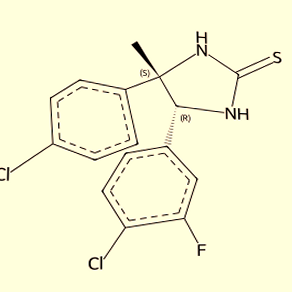 C[C@@]1(c2ccc(Cl)cc2)NC(=S)N[C@@H]1c1ccc(Cl)c(F)c1